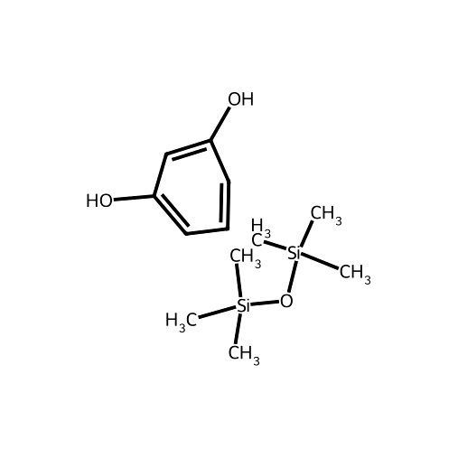 C[Si](C)(C)O[Si](C)(C)C.Oc1cccc(O)c1